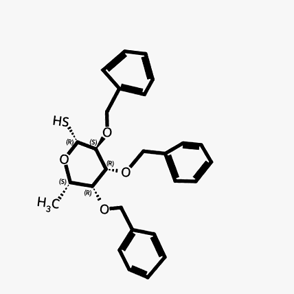 C[C@@H]1O[C@H](S)[C@@H](OCc2ccccc2)[C@H](OCc2ccccc2)[C@@H]1OCc1ccccc1